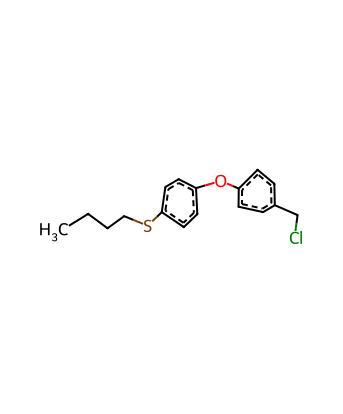 CCCCSc1ccc(Oc2ccc(CCl)cc2)cc1